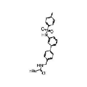 CCCCC(=O)NCc1ccc(-c2cccc(NS(=O)(=O)c3ccc(C)cc3)c2)cc1